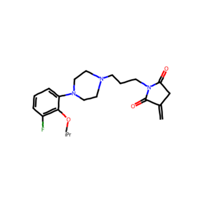 C=C1CC(=O)N(CCCN2CCN(c3cccc(F)c3OC(C)C)CC2)C1=O